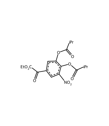 CCOC(=O)C(=O)c1cc(OC(=O)C(C)C)c(OC(=O)C(C)C)c([N+](=O)[O-])c1